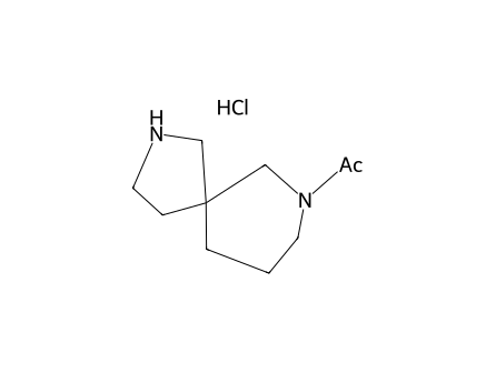 CC(=O)N1CCCC2(CCNC2)C1.Cl